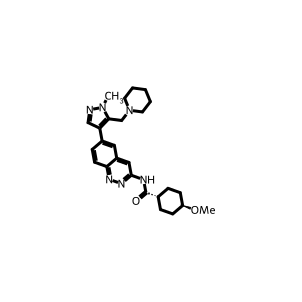 CO[C@H]1CC[C@H](C(=O)Nc2cc3cc(-c4cnn(C)c4CN4CCCCC4)ccc3nn2)CC1